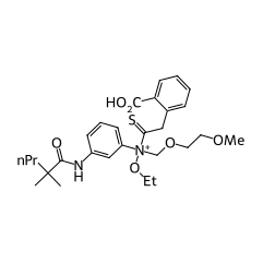 CCCC(C)(C)C(=O)Nc1cccc([N+](COCCOC)(OCC)C(=S)Cc2ccccc2C(=O)O)c1